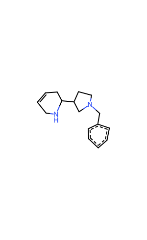 C1=CCC(C2CCN(Cc3ccccc3)C2)NC1